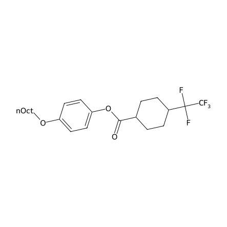 CCCCCCCCOc1ccc(OC(=O)C2CCC(C(F)(F)C(F)(F)F)CC2)cc1